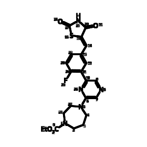 CCOC(=O)N1CCCN(c2cncc(-c3cc(/C=C4\SC(=O)NC4=O)ccc3F)n2)CC1